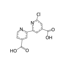 O=C(O)c1ccnc(-c2cc(C(=O)O)cc(Cl)n2)c1